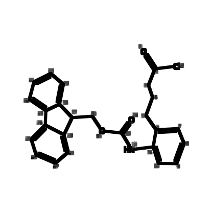 O=C(Cl)CCCc1ccccc1NC(=O)OCC1c2ccccc2-c2ccccc21